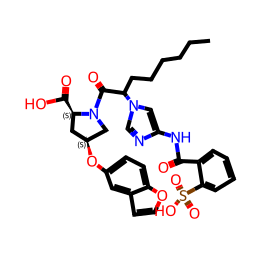 CCCCCCC(C(=O)N1C[C@@H](Oc2ccc3occc3c2)C[C@H]1C(=O)O)n1cnc(NC(=O)c2ccccc2S(=O)(=O)O)c1